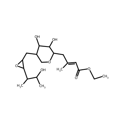 CCOC(=O)/C=C(\C)CC1OCC(CC2OC2C(C)C(C)O)C(O)C1O